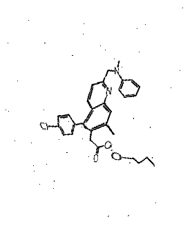 CCCCOOC(=O)Cc1c(C)cc2nc(CN(C)c3ccccc3)ccc2c1-c1ccc(Cl)cc1